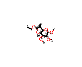 C=C1C(OCC)O[C@@H]2C1O[C@H](OC)[C@@H](OC)C2OC